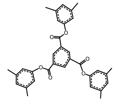 Cc1cc(C)cc(OC(=O)c2cc(C(=O)Oc3cc(C)cc(C)c3)cc(C(=O)Oc3cc(C)cc(C)c3)c2)c1